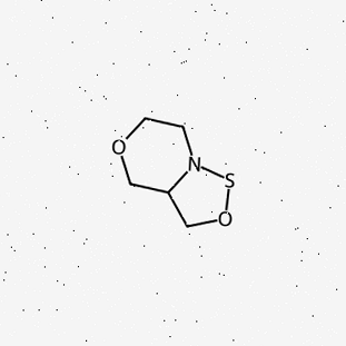 C1CN2SOCC2CO1